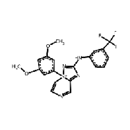 COc1cc(OC)cc([N+]23C=CN=CC2=NC(Nc2cccc(C(F)(F)F)c2)=N3)c1